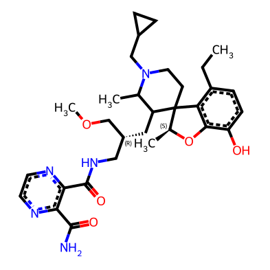 CCc1ccc(O)c2c1C1(CCN(CC3CC3)C(C)C1C[C@H](CNC(=O)c1nccnc1C(N)=O)COC)[C@H](C)O2